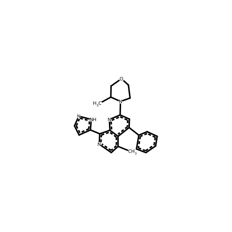 Cc1cnc(-c2ccn[nH]2)c2nc(N3CCOCC3C)cc(-c3ccccc3)c12